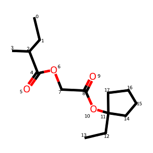 CCC(C)C(=O)OCC(=O)OC1(CC)CCCC1